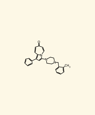 Cc1ccccc1CN1CCN(c2cc(-c3ccccc3)c3ccc(=O)ccn23)CC1